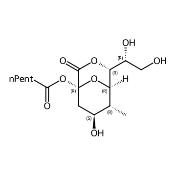 CCCCCC(=O)O[C@@]12C[C@H](O)[C@@H](C)[C@@H](O1)[C@@H]([C@H](O)CO)OC2=O